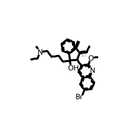 C=C/C(=C\C)C(c1cc2cc(Br)ccc2nc1OC)C(O)(CCCCN(C)CC)c1ccccc1